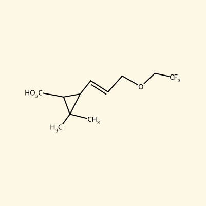 CC1(C)C(C=CCOCC(F)(F)F)C1C(=O)O